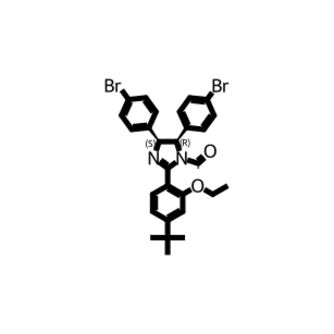 CCOc1cc(C(C)(C)C)ccc1C1=N[C@@H](c2ccc(Br)cc2)[C@@H](c2ccc(Br)cc2)N1[C]=O